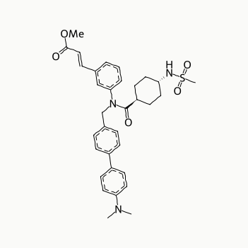 COC(=O)/C=C/c1cccc(N(Cc2ccc(-c3ccc(N(C)C)cc3)cc2)C(=O)[C@H]2CC[C@H](NS(C)(=O)=O)CC2)c1